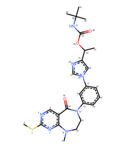 CSc1ncc2c(n1)N(C)CCN(c1cccc(-n3cnc(C(C)OC(=O)NC(C)(C)C)c3)c1)C2=O